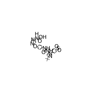 CC(C)(C)c1cc(NC(=O)Nc2ccc(Oc3cc(NC(=O)O)ncn3)cc2)n(-c2ccc(S(C)(=O)=O)cc2)n1